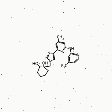 Cc1cc(Nc2cc(C(F)(F)F)ccn2)nc(-c2cn(CC3(O)CCCCC3O)nn2)c1